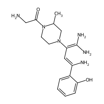 CC1CN(C(/C=C(\N)c2ccccc2O)=C(N)N)CCN1C(=O)CN